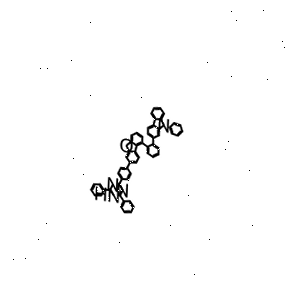 c1ccc(C2=NC(c3ccc(-c4ccc5c(c4)oc4cccc(-c6ccccc6-c6ccc7c8ccccc8n(-c8ccccc8)c7c6)c45)cc3)=NC(c3ccccc3)N2)cc1